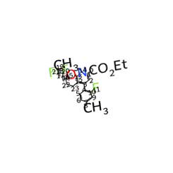 CCOC(=O)c1cc(-c2ccc(C)cc2F)c2c(n1)O[C@@H](CC(C)(F)F)CC2